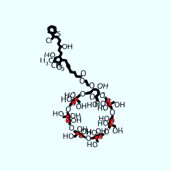 CC1(C)C(=O)C(CC#CCCCC(=O)OCCOC2C3OC(CO)C(OC4OC(CO)C(OC5OC(CO)C(OC6OC(CO)C(OC7OC(CO)C(OC8OC(CO)C(OC9OC(CO)C(O3)C(O)C9O)C(O)C8O)C(O)C7O)C(O)C6O)C(O)C5O)C(O)C4O)C2O)C(CCC(O)CCc2sc3ccccc3c2Cl)C1O